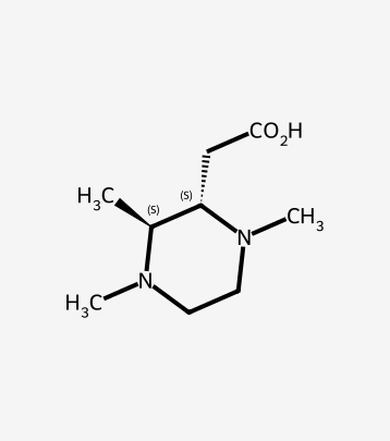 C[C@H]1[C@H](CC(=O)O)N(C)CCN1C